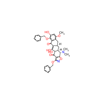 COc1cc(O)c(OCc2ccccc2)c2c1C[C@H]1C[C@H]3[C@H](N(C)C)c4onc(OCc5ccccc5)c4C(=O)[C@@]3(O)C(O)=C1C2=O